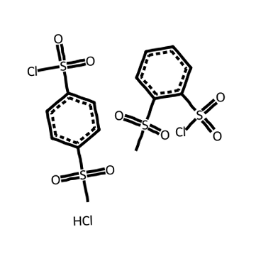 CS(=O)(=O)c1ccc(S(=O)(=O)Cl)cc1.CS(=O)(=O)c1ccccc1S(=O)(=O)Cl.Cl